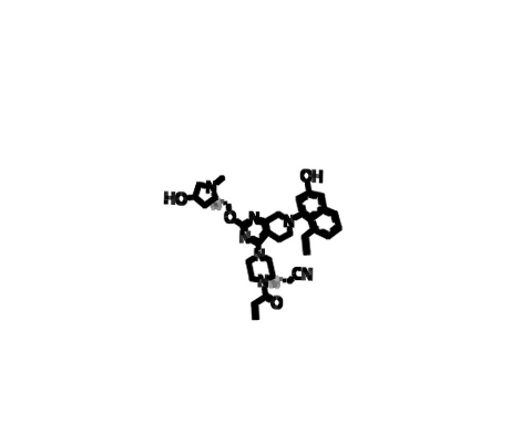 C=CC(=O)N1CCN(c2nc(OC[C@@H]3CC(O)CN3C)nc3c2CCN(c2cc(O)cc4cccc(C=C)c24)C3)C[C@@H]1CC#N